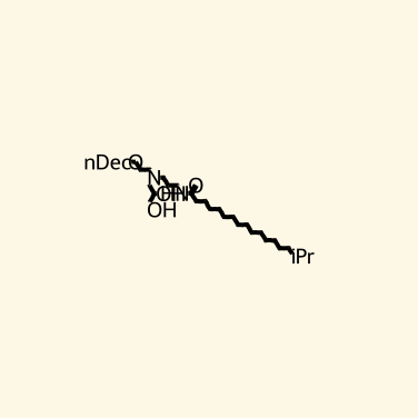 CCCCCCCCCCOCCN(CCCNC(=O)CCCCCCCCCCCCCCC(C)C)CC(O)CO